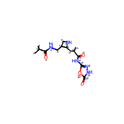 CC(C)C(=O)NCC1CNC1CC(C)C(=O)Nc1n[nH]c(=O)o1